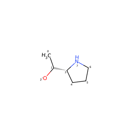 CC([O])[C@H]1CCCN1